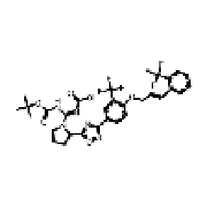 CC(C)(C)OC(=O)NC(=NC(=O)O)N1CCCC1c1nc(-c2ccc(OCC=Cc3ccccc3C(F)(F)F)c(C(F)(F)F)c2)no1